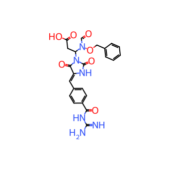 N=C(N)NC(=O)c1ccc(/C=C2\NC(=O)N(C(CC(=O)O)N(C=O)OCc3ccccc3)C2=O)cc1